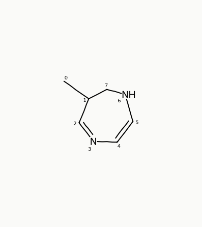 CC1C=NC=CNC1